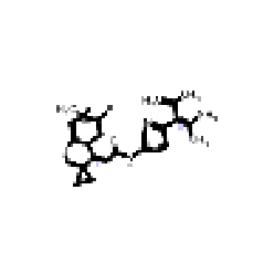 C=C(C)/C(=C(/C)N)c1ccc(NC(=O)/C=C2\C3CC(F)[C@@](C)(F)C=C3OCC23CC3)cn1